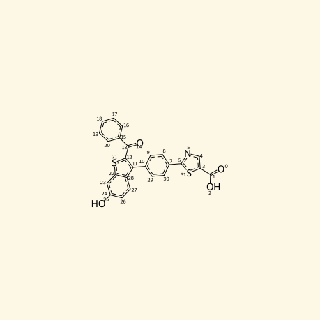 O=C(O)c1cnc(-c2ccc(-c3c(C(=O)c4ccccc4)sc4cc(O)ccc34)cc2)s1